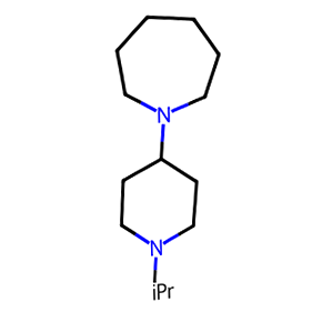 CC(C)N1CCC(N2CCCCCC2)CC1